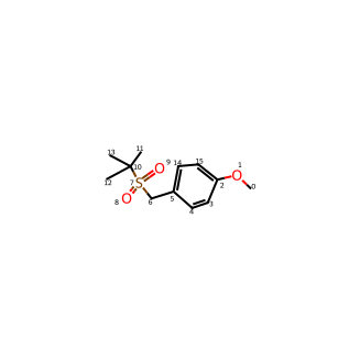 COc1ccc(CS(=O)(=O)C(C)(C)C)cc1